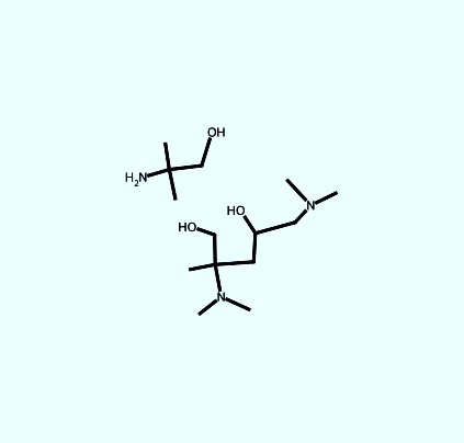 CC(C)(N)CO.CN(C)CC(O)CC(C)(CO)N(C)C